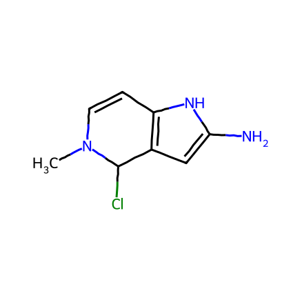 CN1C=Cc2[nH]c(N)cc2C1Cl